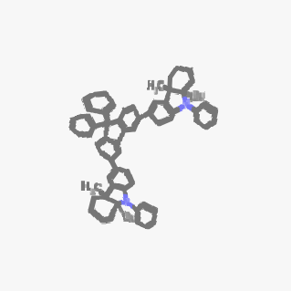 CC(C)(C)C12CCCCC1(C)c1cc(-c3ccc4c(c3)-c3cc(-c5ccc6c(c5)C5(C)CCCCC5(C(C)(C)C)N6c5ccccc5)ccc3C4(c3ccccc3)c3ccccc3)ccc1N2c1ccccc1